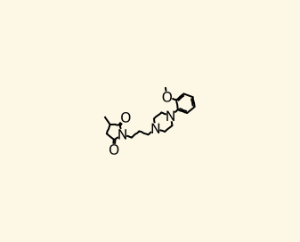 COc1ccccc1N1CCN(CCCN2C(=O)CC(C)C2=O)CC1